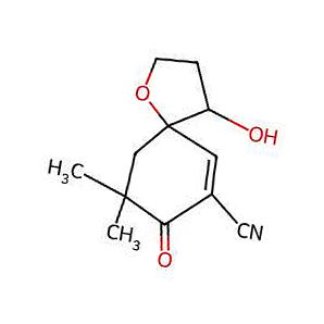 CC1(C)CC2(C=C(C#N)C1=O)OCCC2O